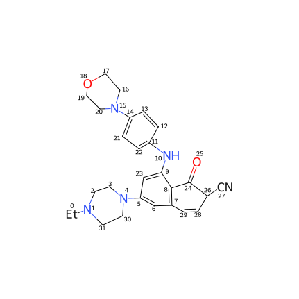 CCN1CCN(c2cc3c(c(Nc4ccc(N5CCOCC5)cc4)c2)C(=O)C(C#N)C=C3)CC1